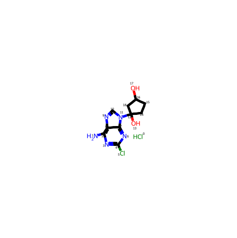 Cl.Nc1nc(Cl)nc2c1ncn2C1(O)CCC(O)C1